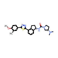 CC(C)Oc1ccc(-c2nnc(-c3cccc4c3CC[C@H]4NC(=O)N3CC[C@@H](N(C)C)C3)s2)cc1C#N